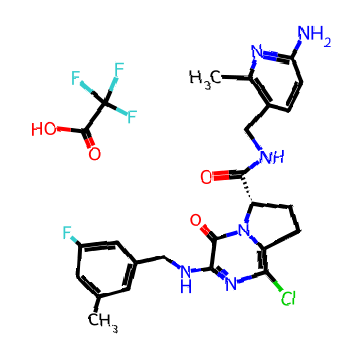 Cc1cc(F)cc(CNc2nc(Cl)c3n(c2=O)[C@H](C(=O)NCc2ccc(N)nc2C)CC3)c1.O=C(O)C(F)(F)F